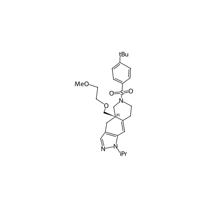 COCCOC[C@]12Cc3cnn(C(C)C)c3C=C1CCN(S(=O)(=O)c1ccc(C(C)(C)C)cc1)C2